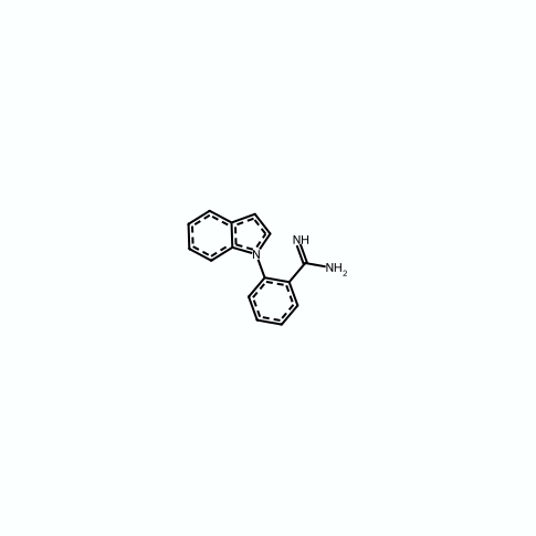 N=C(N)c1ccccc1-n1ccc2ccccc21